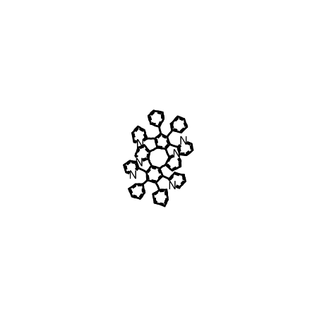 c1ccc(-c2c(-c3ccccc3)c(-c3ccccn3)c3c(c2-c2ccccn2)-c2cccnc2-c2c(-c4ccccn4)c(-c4ccccc4)c(-c4ccccc4)c(-c4ccccn4)c2-c2cccnc2-3)cc1